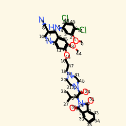 COc1cc(Nc2c(C#N)cnc3cc(OCCCN4CCN(C(=O)[C@H](C(C)C)N5C(=O)c6ccccc6C5=O)CC4)c(OC)cc23)c(Cl)cc1Cl